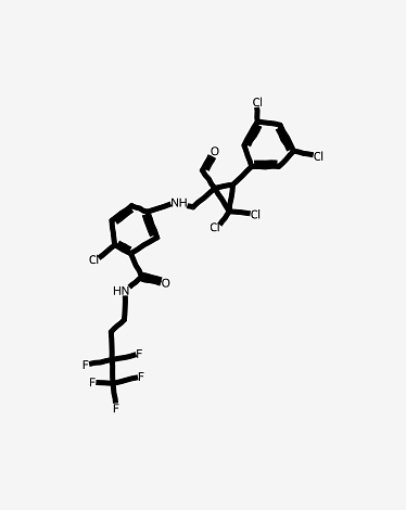 O=CC1(CNc2ccc(Cl)c(C(=O)NCCC(F)(F)C(F)(F)F)c2)C(c2cc(Cl)cc(Cl)c2)C1(Cl)Cl